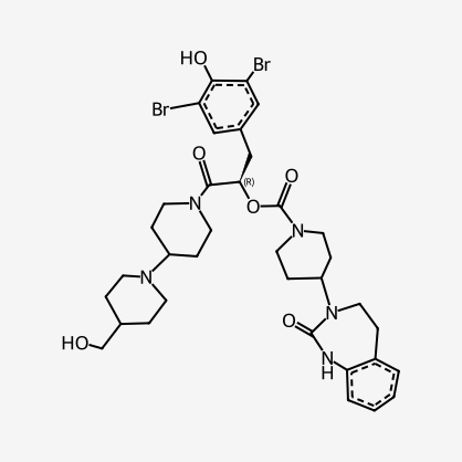 O=C(O[C@H](Cc1cc(Br)c(O)c(Br)c1)C(=O)N1CCC(N2CCC(CO)CC2)CC1)N1CCC(N2CCc3ccccc3NC2=O)CC1